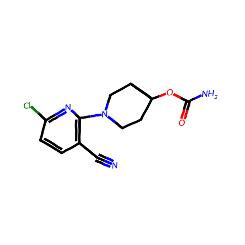 N#Cc1ccc(Cl)nc1N1CCC(OC(N)=O)CC1